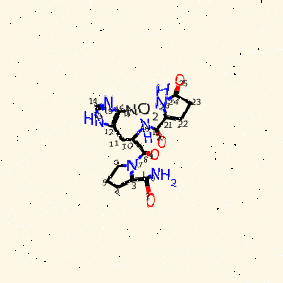 NC(=O)C1CCCN1C(=O)C(Cc1[nH]cnc1[N+](=O)[O-])NC(=O)C1CCC(=O)N1